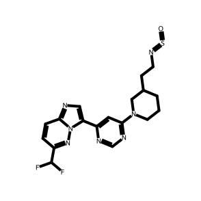 O=S=NCCC1CCCN(c2cc(-c3cnc4ccc(C(F)F)nn34)ncn2)C1